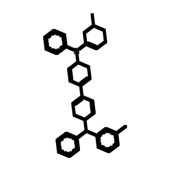 Cc1cccc(C(c2ccccc2)C2C=CC(C3=CCC(N(C4=CCCC(C)C4)c4ccccc4)C=C3)=CC2)c1